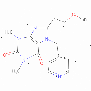 CCCOCCC1Nc2c(c(=O)n(C)c(=O)n2C)N1Cc1ccncc1